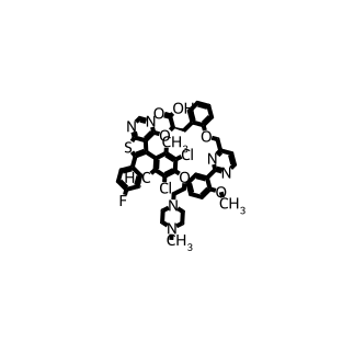 COc1ccccc1-c1nccc(COc2ccccc2C[C@@H](Oc2ncnc3sc(-c4ccc(F)cc4)c(-c4c(C)c(Cl)c(OCCN5CCN(C)CC5)c(Cl)c4C)c23)C(=O)O)n1